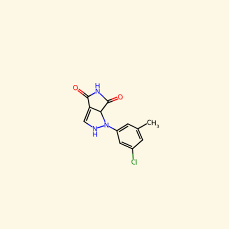 Cc1cc(Cl)cc(N2NC=C3C(=O)NC(=O)C32)c1